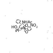 CC(=O)NC(Cc1ccccc1)C(=O)N([C@@H]1COc2ccc([N+](=O)[O-])cc21)[C@@H](CC(C)C)C(=O)O